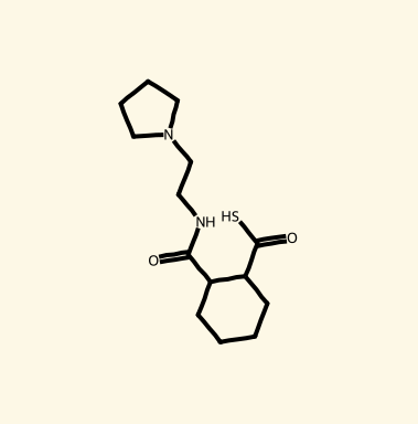 O=C(S)C1CCCCC1C(=O)NCCN1CCCC1